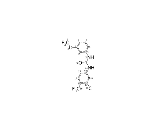 O=C(Nc1cccc(OC(F)(F)F)c1)Nc1ccc(C(F)(F)F)c(Cl)c1